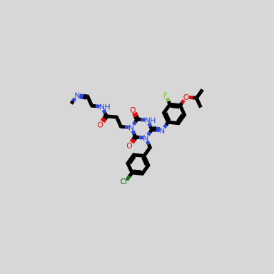 C/N=C\CNC(=O)CCn1c(=O)[nH]/c(=N\c2ccc(OC(C)C)c(F)c2)n(Cc2ccc(Cl)cc2)c1=O